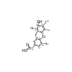 Cc1c(Oc2c(I)cc(CC(=O)O)cc2I)cc(I)c(O)c1I